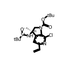 C=Cc1cc2c(c(Cl)n1)N(C(=O)OC(C)(C)C)C[C@]2(C)N[S+]([O-])C(C)(C)C